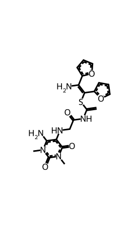 C=C(NC(=O)CNc1c(N)n(C)c(=O)n(C)c1=O)S/C(=C(\N)c1ccco1)c1ccco1